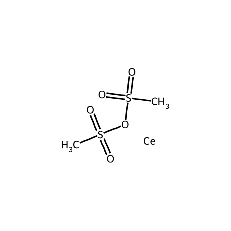 CS(=O)(=O)OS(C)(=O)=O.[Ce]